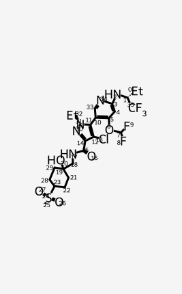 CC[C@@H](Nc1cc(OC(F)F)c(-c2c(Cl)c(C(=O)NCC3(O)CCC(S(C)(=O)=O)CC3)nn2CC)cn1)C(F)(F)F